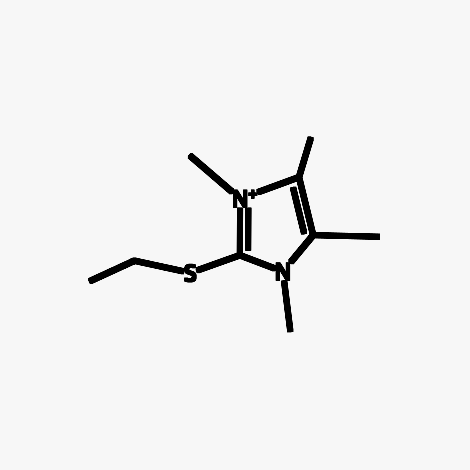 CCSc1n(C)c(C)c(C)[n+]1C